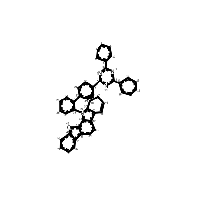 c1c(-c2nc(-c3ccccc3)nc(-c3ccccc3)n2)ccc(-c2ccccc2-n2c3c(c4ccc5c6ccccc6oc5c42)C=CCC3)c#1